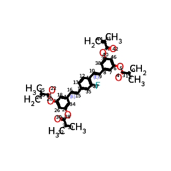 C=C(C)C(=O)Oc1cc(/C=C/c2ccc(/C=C/c3cc(OC(=O)C(=C)C)cc(OC(=O)C(C)C)c3)cc2F)cc(OC(=O)C(=C)C)c1